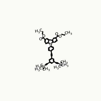 CCCOC(=O)c1ccc2c(c1)c1cc(C(=O)OCCC)ccc1n2-c1ccc(C#Cc2cc(C#C[Si](C)(C)C)cc(C#C[Si](C)(C)C)c2)cc1